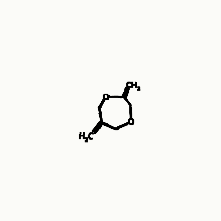 C=C1COCC(=C)OC1